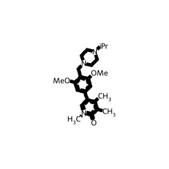 COc1cc(-c2cn(C)c(=O)c(C)c2C)cc(OC)c1CN1CCN(C(C)C)CC1